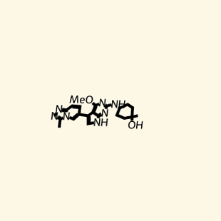 COc1nc(NC2CCC(C)(O)CC2)nc2[nH]cc(-c3ccc4nnc(C)n4c3)c12